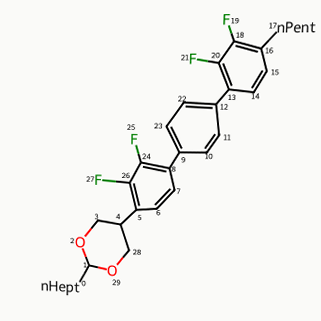 CCCCCCCC1OCC(c2ccc(-c3ccc(-c4ccc(CCCCC)c(F)c4F)cc3)c(F)c2F)CO1